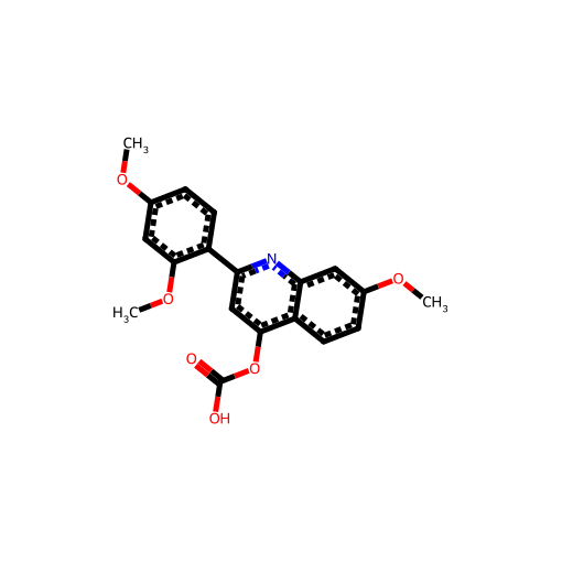 COc1ccc(-c2cc(OC(=O)O)c3ccc(OC)cc3n2)c(OC)c1